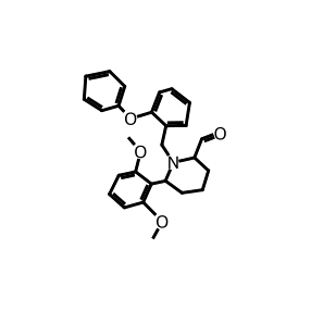 COc1cccc(OC)c1C1CCCC(C=O)N1Cc1ccccc1Oc1ccccc1